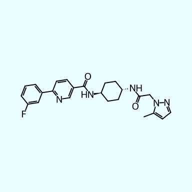 Cc1ccnn1CC(=O)N[C@H]1CC[C@H](NC(=O)c2ccc(-c3cccc(F)c3)nc2)CC1